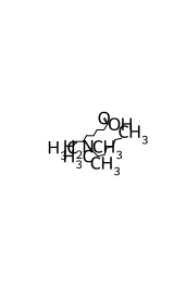 CCCCCCC(C)C(C)(C)N.CCCCCCCC(=O)O